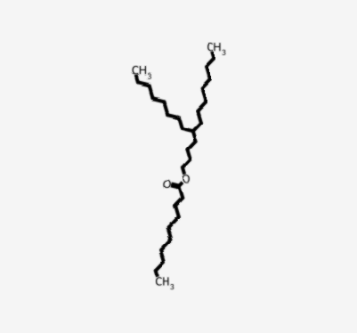 CCCCCCCCCC(=O)OCCCCC(CCCCCCCC)CCCCCCCC